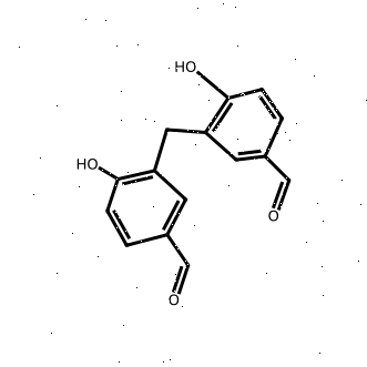 O=Cc1ccc(O)c(Cc2cc(C=O)ccc2O)c1